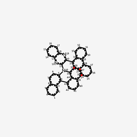 c1ccc2c3c(ccc2c1)N(c1nc2ccccc2nc1-c1cc2ccccc2c2ccccc12)c1cccc2cccc-3c12